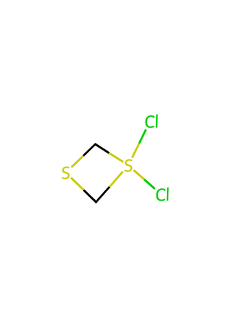 ClS1(Cl)CSC1